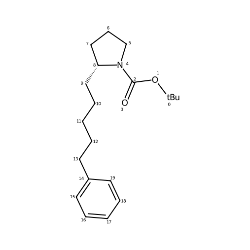 CC(C)(C)OC(=O)N1CCC[C@H]1CCCCCc1ccccc1